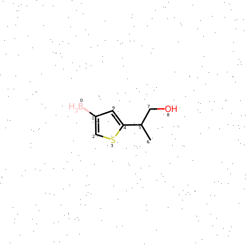 Bc1csc(C(C)CO)c1